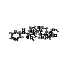 CN1C(=O)C=C[C@@]2(C)C1CC[C@@H]1[C@H]2CC[C@]2(C)C(C(=O)Nc3cccnc3)CC[C@@H]12